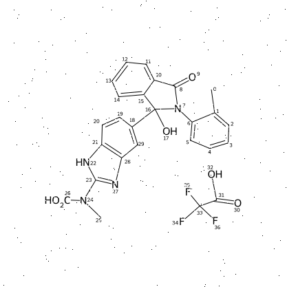 Cc1ccccc1N1C(=O)c2ccccc2C1(O)c1ccc2[nH]c(N(C)C(=O)O)nc2c1.O=C(O)C(F)(F)F